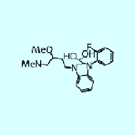 CNC[C@H](CCN1c2ccccc2N(c2ccccc2F)S1(O)O)OC